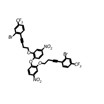 O=[N+]([O-])c1ccc(Oc2ccc([N+](=O)[O-])cc2OCCC#Cc2ccc(C(F)(F)F)cc2Br)c(OCCC#Cc2ccc(C(F)(F)F)cc2Br)c1